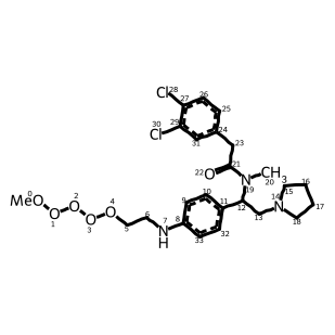 COOOOOCCNc1ccc(C(CN2CCCC2)N(C)C(=O)Cc2ccc(Cl)c(Cl)c2)cc1